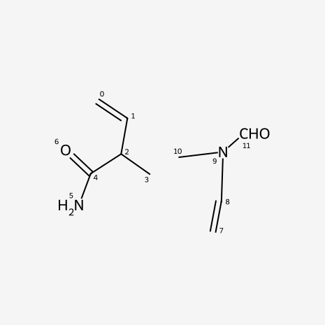 C=CC(C)C(N)=O.C=CN(C)C=O